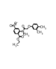 CCOC(=O)c1ccc([N+](=O)[O-])cc1N(C)C(=O)COc1ccc(C)c(C)c1